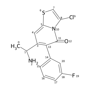 CC(N)c1cc2scc(Cl)n2c(=O)c1-c1cccc(F)c1